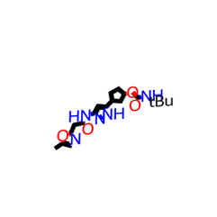 Cc1cnc(CC(=O)Nc2cc(C3CCC(OC(=O)NC(C)(C)C)C3)[nH]n2)o1